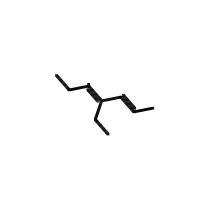 CC=C/C(=[C]/CC)CC